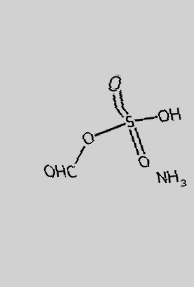 N.O=COS(=O)(=O)O